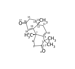 CC1(C)C(=O)CC[C@@]2(C)C1=CC[C@@]1(C)CCC(=O)C=C12